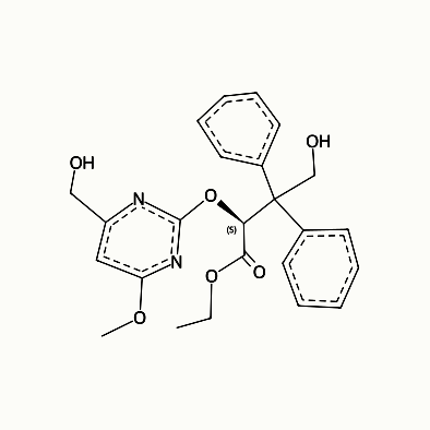 CCOC(=O)[C@@H](Oc1nc(CO)cc(OC)n1)C(CO)(c1ccccc1)c1ccccc1